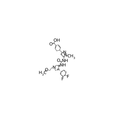 COCCN1C[C@@H](NC(=O)Nc2cc(C3C=CC(C(=O)O)=CC3)nn2C)[C@H](c2ccc(F)c(F)c2)C1